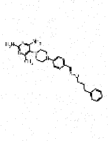 Cc1nc(N)nc(N)c1N1CCN(c2ccc(C=NOCCCc3ccccc3)cc2)CC1